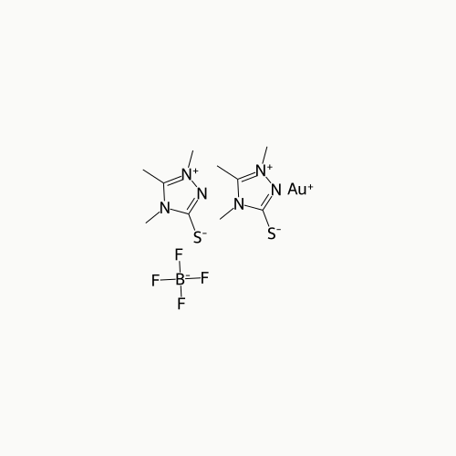 Cc1n(C)c([S-])n[n+]1C.Cc1n(C)c([S-])n[n+]1C.F[B-](F)(F)F.[Au+]